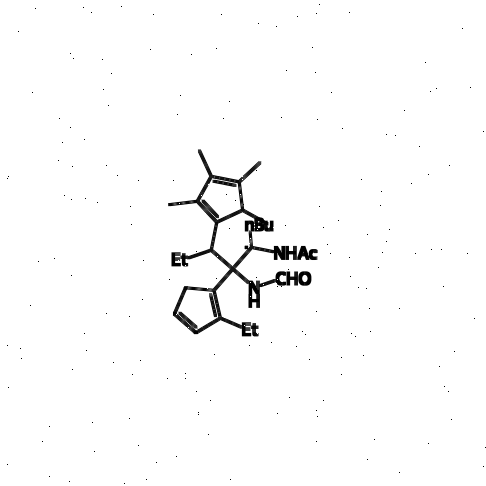 CCCC[C](NC(C)=O)C(NC=O)(C1=C(CC)C=CC1)C(CC)C1=C(C)C(C)=C(C)C1C